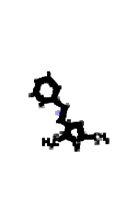 Cc1cc(/C=C/c2ccccc2)c(C)o1